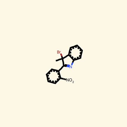 CC1(Br)C(c2ccccc2[N+](=O)[O-])=Nc2ccccc21